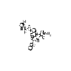 NC(=O)C(=O)CC[C@H](NC(=O)c1cc2ccccc2o1)C(=O)Nc1cccn(CC(=O)N[C@@H]2C[C@@H]3CC[C@H]2C3)c1=O